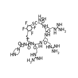 N=C(N)NCCCC1NC(=O)C(NS)CSc2c(F)c(F)c(c(F)c2F)SCC(C(=O)NCC(=O)N2CCNCC2)NC(=O)C(CCCNC(=N)N)NC(=O)C(CCCNC(=N)N)NC1=O